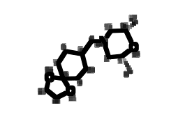 C[C@@H]1CN(CC2CCC3(CC2)OCCO3)C[C@H](C)O1